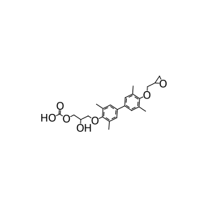 Cc1cc(-c2cc(C)c(OCC3CO3)c(C)c2)cc(C)c1OCC(O)COC(=O)O